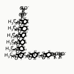 CC[n+]1cc2c(o1)CCCC2.CC[n+]1cc2c(o1)CCCC2.CC[n+]1cc2c(o1)CCCC2.CC[n+]1cc2c(o1)CCCC2.CC[n+]1cc2c(o1)CCCC2.CC[n+]1cc2c(o1)CCCC2.CC[n+]1cc2c(o1)CCCC2.CC[n+]1cc2c(o1)CCCC2.[O-]B([O-])F.[O-]B([O-])F.[O-]B([O-])F.[O-]B([O-])F